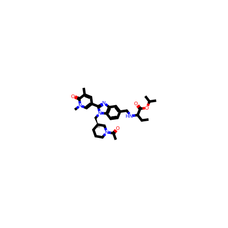 CCC(NCc1ccc2c(c1)nc(-c1cc(C)c(=O)n(C)c1)n2C[C@@H]1CCCN(C(C)=O)C1)C(=O)OC(C)C